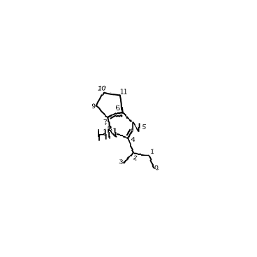 CCC(C)c1nc2c([nH]1)CCC2